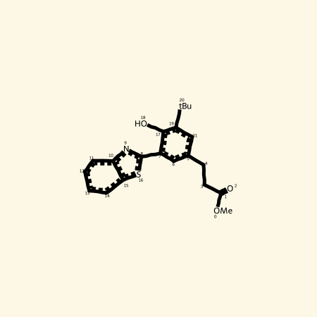 COC(=O)CCc1cc(-c2nc3ccccc3s2)c(O)c(C(C)(C)C)c1